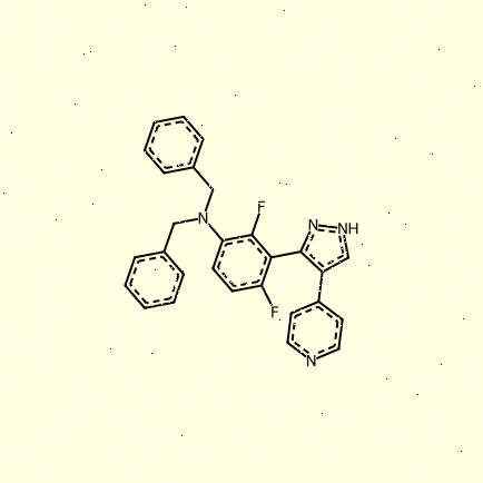 Fc1ccc(N(Cc2ccccc2)Cc2ccccc2)c(F)c1-c1n[nH]cc1-c1ccncc1